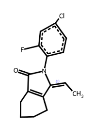 C/C=C1\C2=C(CCCC2)C(=O)N1c1ccc(Cl)cc1F